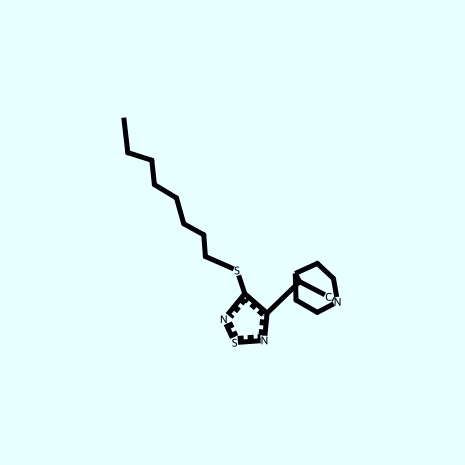 CCCCCCCCSc1nsnc1C1CN2CCC1CC2